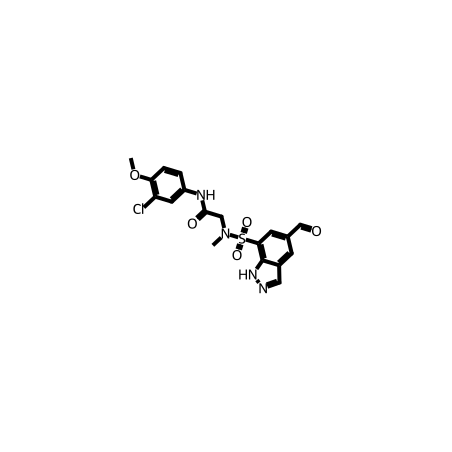 COc1ccc(NC(=O)CN(C)S(=O)(=O)c2cc(C=O)cc3cn[nH]c23)cc1Cl